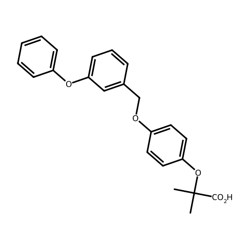 CC(C)(Oc1ccc(OCc2cccc(Oc3ccccc3)c2)cc1)C(=O)O